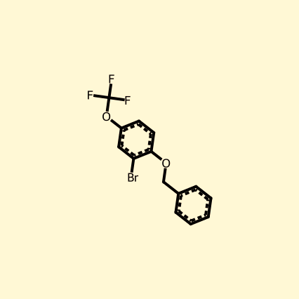 FC(F)(F)Oc1ccc(OCc2ccccc2)c(Br)c1